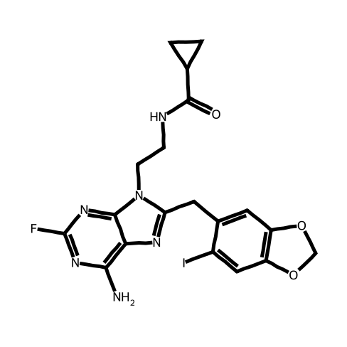 Nc1nc(F)nc2c1nc(Cc1cc3c(cc1I)OCO3)n2CCNC(=O)C1CC1